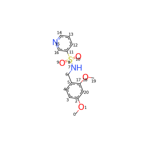 COc1ccc(CNS(=O)(=O)c2cccnc2)c(OC)c1